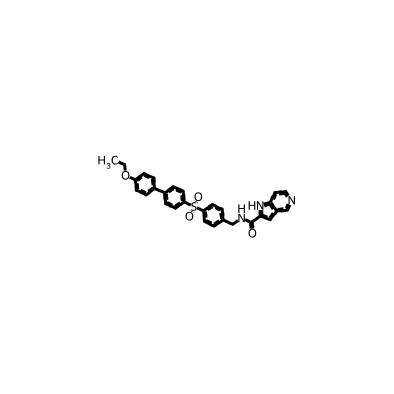 CCOc1ccc(-c2ccc(S(=O)(=O)c3ccc(CNC(=O)c4cc5cnccc5[nH]4)cc3)cc2)cc1